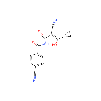 N#CC(C(=O)NC(=O)c1ccc(C#N)cc1)=C(O)C1CC1